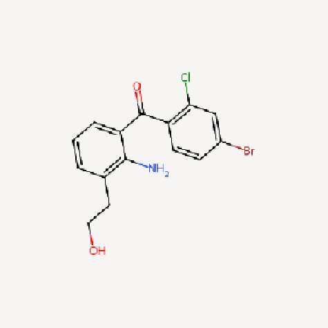 Nc1c(CCO)cccc1C(=O)c1ccc(Br)cc1Cl